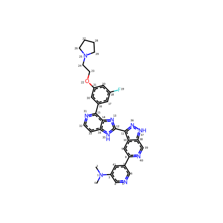 CN(C)c1cncc(-c2cc3c(-c4nc5c(-c6cc(F)cc(OCCN7CCCC7)c6)nccc5[nH]4)n[nH]c3cn2)c1